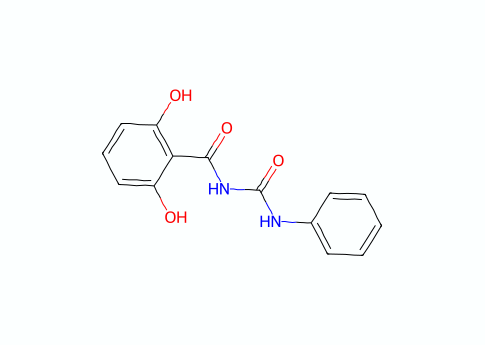 O=C(NC(=O)c1c(O)cccc1O)Nc1ccccc1